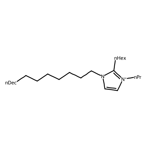 CCCCCCCCCCCCCCCCCn1cc[n+](CCC)c1CCCCCC